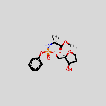 COC(=O)[C@H](C)NP(=O)(OC[C@H]1OCCC1O)Oc1ccccc1